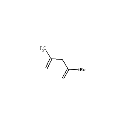 C=C(CC(=C)C(F)(F)F)C(C)(C)C